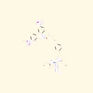 CC(C)(C)OC(=O)N=C(N)N(CCc1ccc(OCCC2Oc3cc([N+](=O)[O-])ccc3N(Cc3cccc([N+](=O)[O-])c3)C2=O)cc1)C(=O)OC(C)(C)C